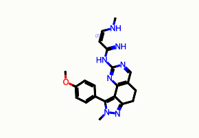 CN/C=C\C(=N)Nc1ncc2c(n1)-c1c(nn(C)c1-c1ccc(OC)cc1)CC2